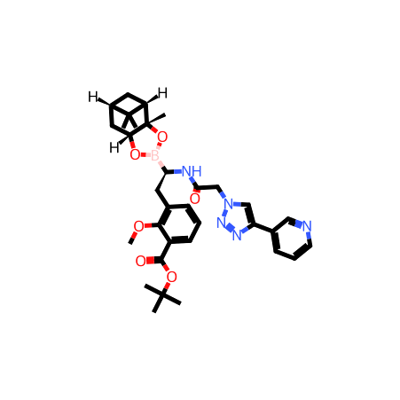 COc1c(C[C@H](NC(=O)Cn2cc(-c3cccnc3)nn2)B2O[C@@H]3C[C@@H]4C[C@@H](C4(C)C)[C@]3(C)O2)cccc1C(=O)OC(C)(C)C